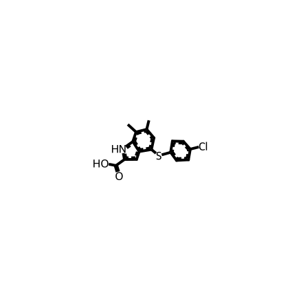 Cc1cc(Sc2ccc(Cl)cc2)c2cc(C(=O)O)[nH]c2c1C